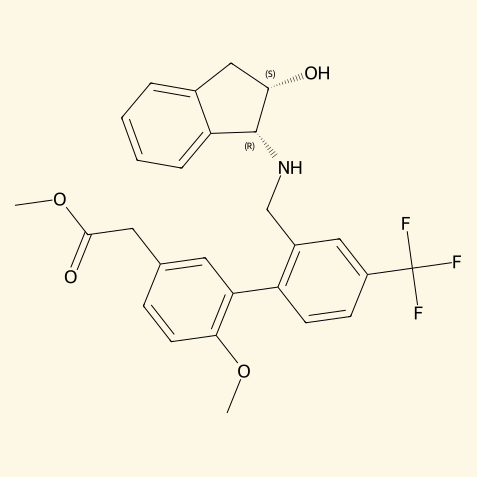 COC(=O)Cc1ccc(OC)c(-c2ccc(C(F)(F)F)cc2CN[C@@H]2c3ccccc3C[C@@H]2O)c1